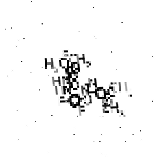 COc1cc2ncnc(Oc3cc(NC(=O)Nc4cc(C(C)(C)F)no4)c(F)cc3F)c2cc1OC